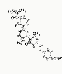 COc1ccc(COc2cc(C)n(-c3cc(-c4cccc(C(=O)N(C)C)c4F)ncc3C)c(=O)c2)cc1